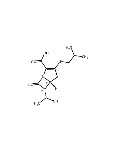 CC(N)CSC1=C(C(=O)O)N2C(=O)[C@@H](C(C)O)[C@H]2C1